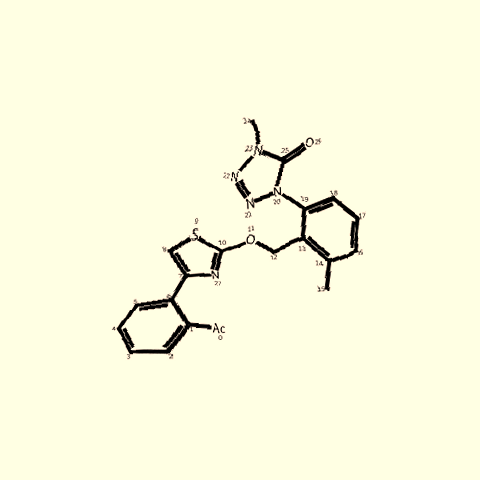 CC(=O)c1ccccc1-c1csc(OCc2c(C)cccc2-n2nnn(C)c2=O)n1